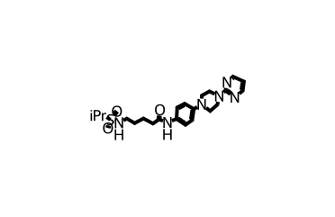 CC(C)S(=O)(=O)NCCCCC(=O)Nc1ccc(N2CCN(c3ncccn3)CC2)cc1